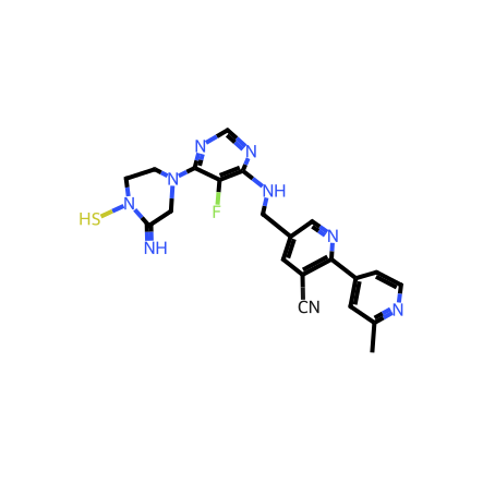 Cc1cc(-c2ncc(CNc3ncnc(N4CCN(S)C(=N)C4)c3F)cc2C#N)ccn1